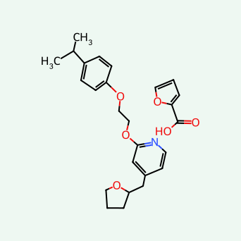 CC(C)c1ccc(OCCOc2cc(CC3CCCO3)ccn2)cc1.O=C(O)c1ccco1